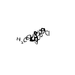 COc1ccc2c(n1)C1(CO2)OC(=S)N(CC2CC=C(Cl)O2)c2ccccc21